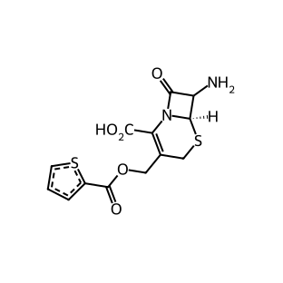 NC1C(=O)N2C(C(=O)O)=C(COC(=O)c3cccs3)CS[C@H]12